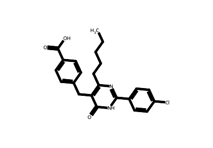 CCCCCc1nc(-c2ccc(Cl)cc2)[nH]c(=O)c1Cc1ccc(C(=O)O)cc1